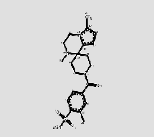 CNS(=O)(=O)c1ccc(C(=O)N2CCC3(CC2)c2ccc(C(F)(F)F)n2CCN3C)cc1C